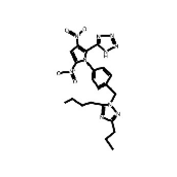 CCCCc1nc(CCC)nn1Cc1ccc(-n2c([N+](=O)[O-])cc([N+](=O)[O-])c2-c2nnn[nH]2)cc1